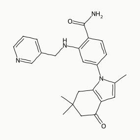 Cc1cc2c(n1-c1ccc(C(N)=O)c(NCc3cccnc3)c1)CC(C)(C)CC2=O